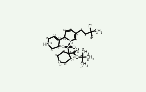 CC(F)(F)CCC1=CN(S(=O)(=O)C2(C(=O)OC(C)(C)C)CCOCC2)C(C2=CCNCC2)C=C1